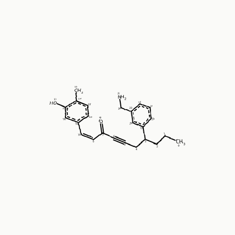 CCCC(CC#CC(=O)/C=C\c1ccc(C)c(O)c1)c1cccc(CN)c1